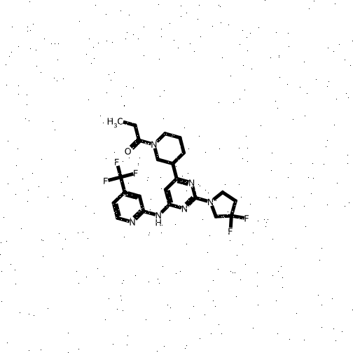 CCC(=O)N1CCCC(c2cc(Nc3cc(C(F)(F)F)ccn3)nc(N3CCC(F)(F)C3)n2)C1